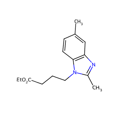 CCOC(=O)CCCn1c(C)nc2cc(C)ccc21